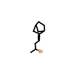 CC(Br)CC=C1CC2CCC1C2